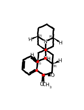 CC1C[C@@H]2CC(N3[C@@H]4CCC[C@H]3CC(Nc3ccccc3[N+](=O)[O-])C4)C[C@H](C1)C2